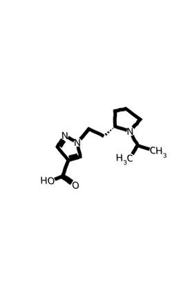 CC(C)N1CCC[C@H]1CCn1cc(C(=O)O)cn1